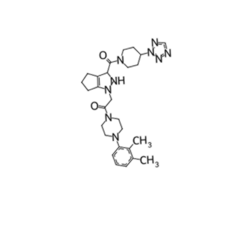 Cc1cccc(N2CCN(C(=O)CN3NC(C(=O)N4CCC(n5ncnn5)CC4)C4=C3CCC4)CC2)c1C